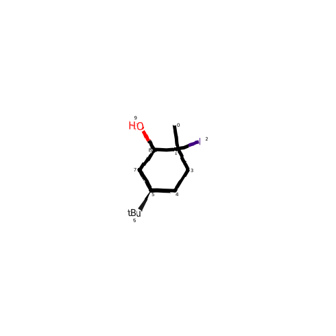 CC1(I)CC[C@@H](C(C)(C)C)CC1O